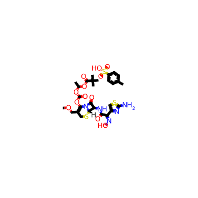 COCC1=C(OC(=O)OC(C)OC(=O)C(C)(C)C)N2C(=O)C(NC(=O)/C(=N\O)c3csc(N)n3)[C@@H]2SC1.Cc1ccc(S(=O)(=O)O)cc1